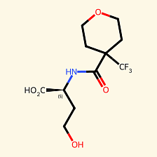 O=C(O)[C@H](CCO)NC(=O)C1(C(F)(F)F)CCOCC1